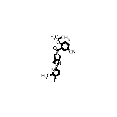 Cc1nc(-n2cc3c(n2)CN(C(=O)c2cc(C#N)ccc2O[C@@H](C)C(F)(F)F)C3)ccc1F